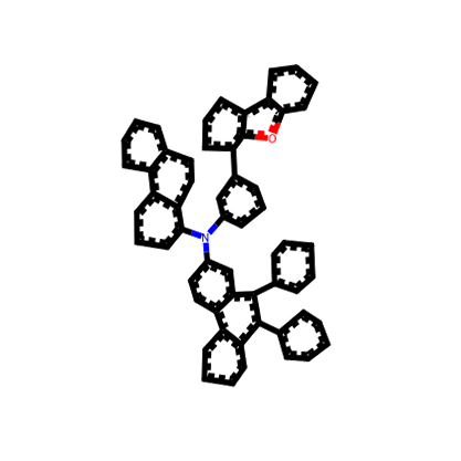 c1ccc(-c2c(-c3ccccc3)c3cc(N(c4cccc(-c5cccc6c5oc5ccccc56)c4)c4cccc5c4ccc4ccccc45)ccc3c3ccccc23)cc1